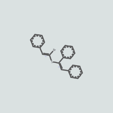 Br/C(=C\c1ccccc1)S/C(=C/c1ccccc1)c1ccccc1